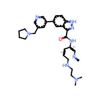 C=N/C=C(\C=C/CNCCN(C)C)NC(=O)c1n[nH]c2ccc(-c3cncc(CN4CCCC4)c3)cc12